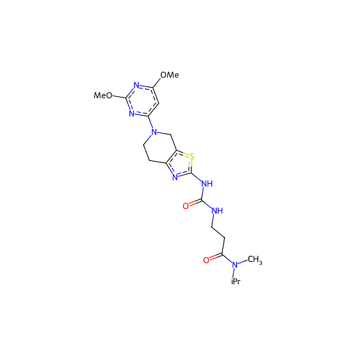 COc1cc(N2CCc3nc(NC(=O)NCCC(=O)N(C)C(C)C)sc3C2)nc(OC)n1